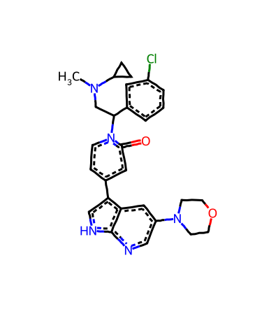 CN(CC(c1cccc(Cl)c1)n1ccc(-c2c[nH]c3ncc(N4CCOCC4)cc23)cc1=O)C1CC1